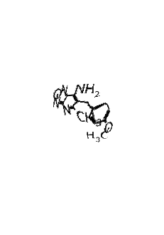 COc1ccc(Cc2c(C)nc3nonc3c2N)cc1